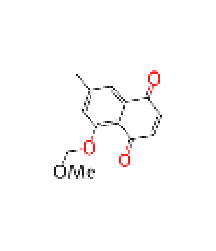 COCOc1cc(C)cc2c1C(=O)C=CC2=O